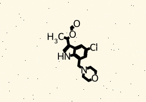 CC(OC=O)c1c[nH]c2c(CN3CCOCC3)cc(Cl)cc12